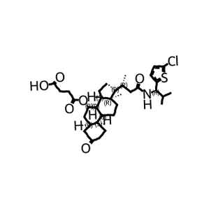 CC(C)[C@@H](NC(=O)C[C@@H](C)[C@H]1CC[C@H]2[C@@H]3[C@H](OC(=O)CCC(=O)O)C[C@@H]4CC(=O)CC[C@]4(C)[C@H]3CC[C@]12C)c1ccc(Cl)s1